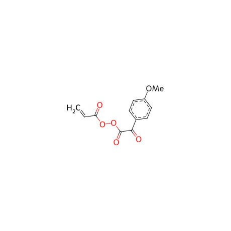 C=CC(=O)OOC(=O)C(=O)c1ccc(OC)cc1